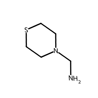 NCN1CCSCC1